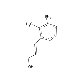 Bc1cccc(/C=C/CO)c1C